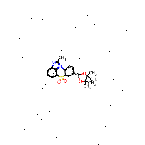 Cc1nc2cccc3c2n1-c1ccc(B2OC(C)(C)C(C)(C)O2)cc1S3(=O)=O